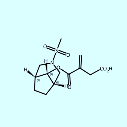 C=C(CC(=O)O)C(=O)O[C@H]1[C@@H]2CC[C@H]1CN(S(C)(=O)=O)C2